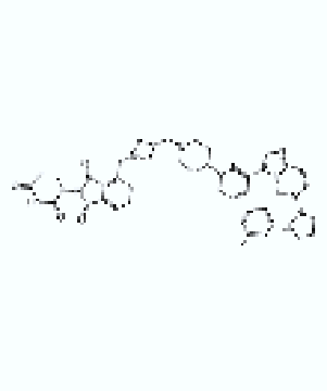 O=C1CCC(N2C(=O)c3cccc(CN4CC(CN5CCN(c6cccc(-c7cnc8ccc(N9CCC[C@@H]9c9cccc(F)c9)nn78)n6)CC5)C4)c3C2=O)C(=O)N1